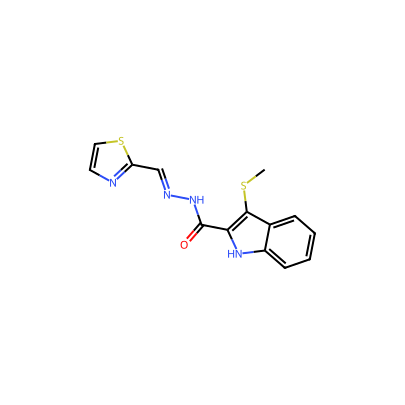 CSc1c(C(=O)NN=Cc2nccs2)[nH]c2ccccc12